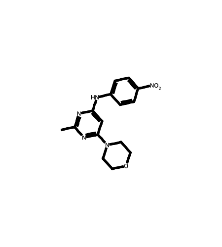 Cc1nc(Nc2ccc([N+](=O)[O-])cc2)cc(N2CCOCC2)n1